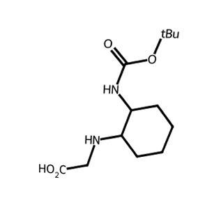 CC(C)(C)OC(=O)NC1CCCCC1NCC(=O)O